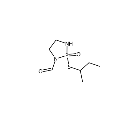 CCC(C)SP1(=O)NCCN1C=O